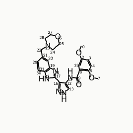 COc1ccc(OC)c(C(=O)Nc2c[nH]nc2-c2nc3cc(CN4CCOCC4)ccc3[nH]2)c1